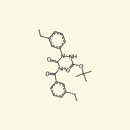 CCc1cccc(C(=O)NC(=O)N(NC(=O)OC(C)(C)C)c2cccc(CC)c2)c1